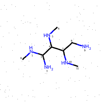 CNC(N)C(NC)C(CN)NC